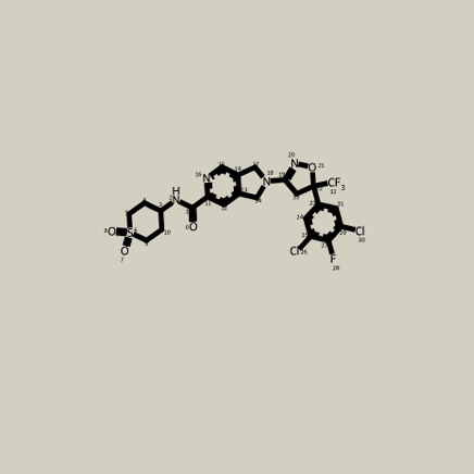 O=C(NC1CCS(=O)(=O)CC1)c1cc2c(cn1)CN(C1=NOC(c3cc(Cl)c(F)c(Cl)c3)(C(F)(F)F)C1)C2